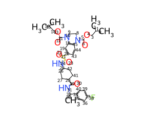 CC(C)COC(=O)N1CCN(C(=O)OCC(C)C)c2cc(S(=O)(=O)N[C@H]3CC[C@H](C(=O)N[C@H](C)c4ccc(F)cc4)CC3)ccc21